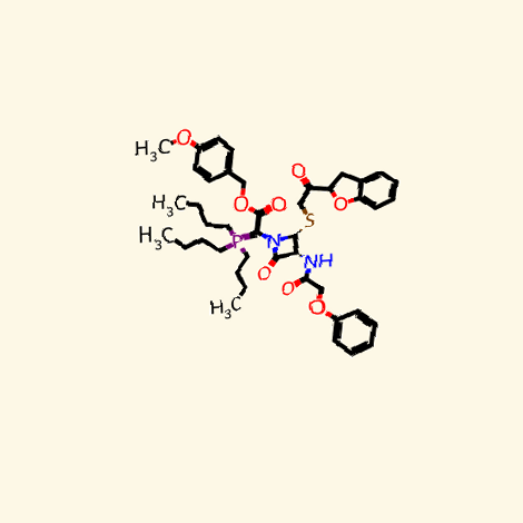 CCCCP(CCCC)(CCCC)=C(C(=O)OCc1ccc(OC)cc1)N1C(=O)[C@@H](NC(=O)COc2ccccc2)[C@H]1SCC(=O)C1Cc2ccccc2O1